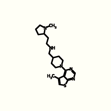 Cc1csc2ncnc(N3CCC(CNCCC4CCCN4C)CC3)c12